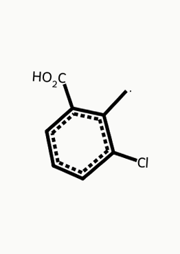 [CH2]c1c(Cl)cccc1C(=O)O